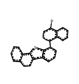 Brc1ccc(-c2cccc3c2sc2c4ccccc4ccc32)c2ccccc12